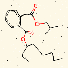 CCCCCC(CC)OC(=O)c1ccccc1C(=O)OCC(C)C